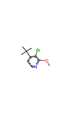 COc1nccc(C(C)(C)C)c1Br